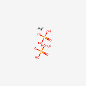 O.O=P([O-])(O)O.O=P([O-])(O)O.[Mg+2]